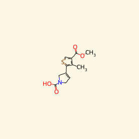 COC(=O)c1csc(C2=CCN(C(=O)O)C2)c1C